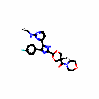 CC1(C(=O)N2CCOCC2)COC(c2nc(-c3ccc(F)cc3)c(-c3ccnc(NCC#N)n3)[nH]2)OC1